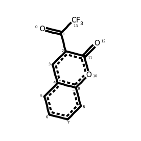 O=C(c1cc2ccccc2oc1=O)C(F)(F)F